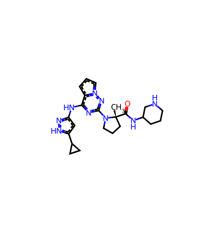 C[C@@]1(C(=O)NC2CCCNC2)CCCN1c1nc(Nc2cc(C3CC3)[nH]n2)c2cccn2n1